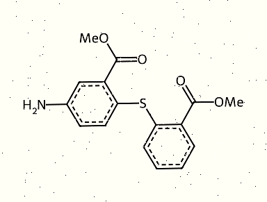 COC(=O)c1ccccc1Sc1ccc(N)cc1C(=O)OC